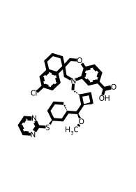 CO[C@@H]([C@H]1CCC[C@H](Sc2ncccn2)C1)[C@@H]1CC[C@H]1CN1CC2(CCCc3cc(Cl)ccc32)COc2ccc(C(=O)O)cc21